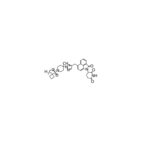 CC1(n2cc(Cc3ccc4c5c(cccc35)C(=O)N4C3CCC(=O)NC3=O)cn2)CCN(S(=O)(=O)C2(C)CCC2)CC1